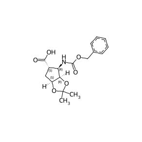 CC1(C)O[C@@H]2[C@H](NC(=O)OCc3ccccc3)[C@@H](C(=O)O)C[C@@H]2O1